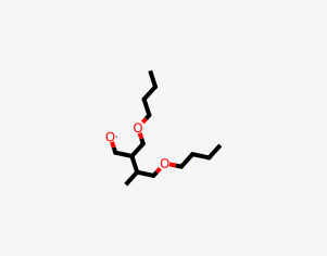 CCCCOCC(C)C(C[O])COCCCC